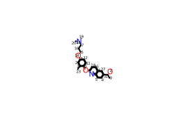 CC(=O)c1ccc2nc(Oc3ccc(OCCCN(C)C)cc3C)ccc2c1